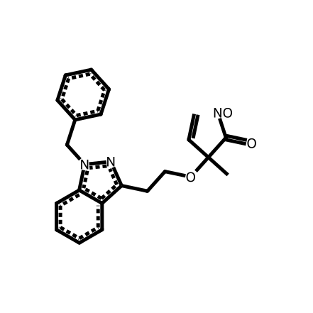 C=CC(C)(OCCc1nn(Cc2ccccc2)c2ccccc12)C(=O)N=O